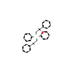 CC(C)([CH2][Sn]([CH2]C(C)(C)c1ccccc1)([c]1ccccc1)[c]1ccccc1)c1ccccc1